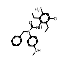 CCc1c(N)cc(Cl)c(CC)c1NC(=O)N(Cc1ccccc1)c1ccc(NC)cc1